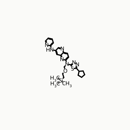 C[Si](C)(C)CCOCN(c1ccc2ncc(Nc3ccccn3)cc2n1)c1nnc(C2CCCC2)s1